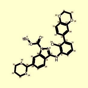 CC(C)(C)OC(=O)n1nc(Nc2cccc(-c3ccc4c(c3)OCCO4)c2Cl)c2ccc(C3SCCCS3)cc21